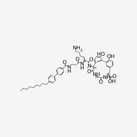 CCCCCCCCCc1ccc(-c2ccc(C(=O)NCCC(=O)N[C@@H](CCCCN)C(=O)N(C)[C@@H]3C(=O)N[C@@H](C)C(=O)N[C@H](C(=O)O)Cc4ccc(O)c(c4)-c4cc3ccc4O)cc2)cc1